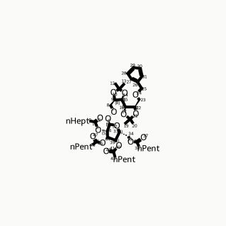 CCCCCCCC(=O)O[C@@H]1[C@H](OOC[C@H]2OC(C)(C)O[C@H]2[C@@H]2OC(C)(C)O[C@@H]2COCc2ccccc2)O[C@H](COC(=O)CCCCC)[C@@H](OC(=O)CCCCC)[C@@H]1OC(=O)CCCCC